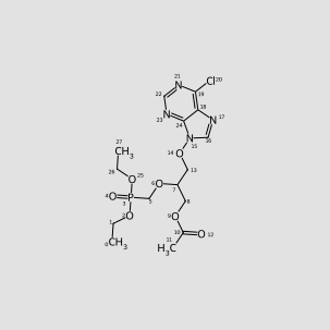 CCOP(=O)(COC(COC(C)=O)COn1cnc2c(Cl)ncnc21)OCC